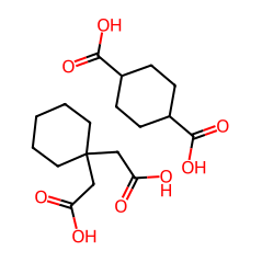 O=C(O)C1CCC(C(=O)O)CC1.O=C(O)CC1(CC(=O)O)CCCCC1